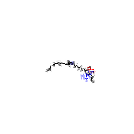 CCCCCCCC/C=C\CCCCCCCC(=O)[N+](N)([O-])CCC